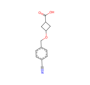 N#Cc1ccc(COC2CC(C(=O)O)C2)cc1